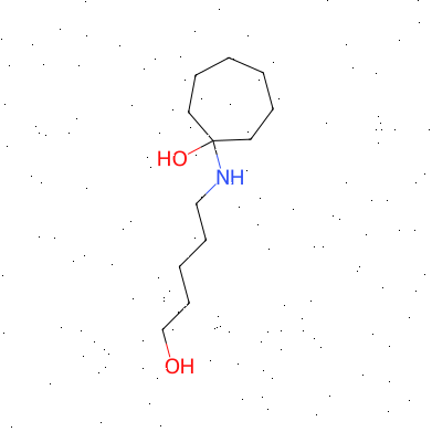 OCCCCCNC1(O)CCCCCC1